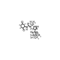 CC1(C)c2[nH]nc(NC(=O)C3([Si](C)(C)C)CCC3)c2CN1C(=O)Nc1cc(Cl)ccc1Cl